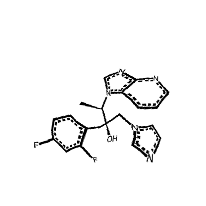 C[C@@H](n1cnc2ncccc21)[C@](O)(Cn1ccnc1)c1ccc(F)cc1F